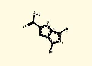 COC(=O)c1cc2c(Br)sc(Br)c2s1